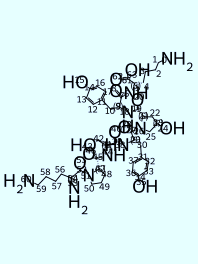 NCCCC[C@H](NC(=O)[C@H](Cc1ccc(O)cc1)NC(=O)[C@@H]1C[C@@H](O)CN1C(=O)[C@H](Cc1ccc(O)cc1)NC(=O)[C@H](CO)NC(=O)[C@@H]1CCCN1C(=O)[C@@H](N)CCCCN)C(=O)O